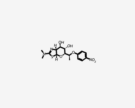 C[C@H](Oc1ccc([N+](=O)[O-])cc1)[C@H]1O[C@@H]2SC(N(C)C)=N[C@@H]2[C@@H](O)[C@@H]1O